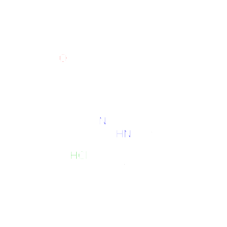 Cl.O=CCN1CC2CCC(C1)N2